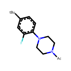 CC(=O)N1CCN(c2ccc(C(C)(C)C)cc2F)CC1